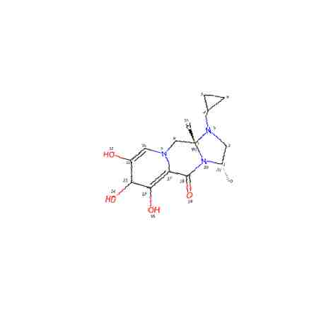 C[C@H]1CN(C2CC2)[C@H]2CN3C=C(O)C(O)C(O)=C3C(=O)N21